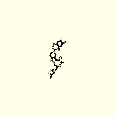 CN1OC(CNCC(F)F)Cn2nc3c(c2C1=O)CN(C(=O)Nc1cc(Br)c(F)cc1F)CC3